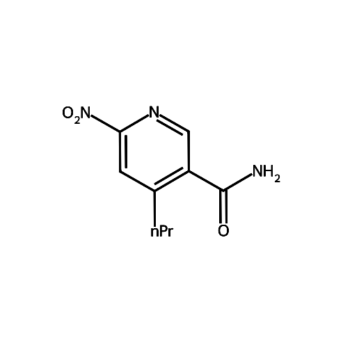 CCCc1cc([N+](=O)[O-])ncc1C(N)=O